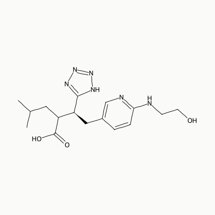 CC(C)CC(C(=O)O)[C@H](Cc1ccc(NCCO)nc1)c1nnn[nH]1